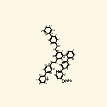 COc1ccnc(-c2ccc(-c3ccccc3-c3cc(CCc4ccc(-c5ccccn5)cc4)cc(CCc4ccc(-c5ccccn5)cc4)c3)cc2)c1